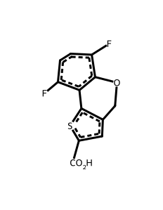 O=C(O)c1cc2c(s1)-c1c(F)ccc(F)c1OC2